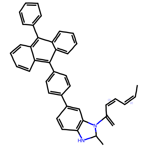 C=C(/C=C\C=C/C)N1c2cc(-c3ccc(-c4c5ccccc5c(-c5ccccc5)c5ccccc45)cc3)ccc2NC1C